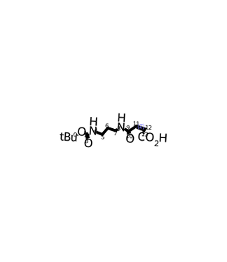 CC(C)(C)OC(=O)NCCCNC(=O)/C=C\C(=O)O